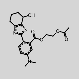 CC(=O)OCCOC(=O)c1cc(N(C)C)ccc1-c1nc2c(s1)C(O)CCC2